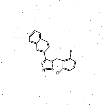 Fc1cccc(Cl)c1Cn1nnnc1-c1ccc2ccccc2c1